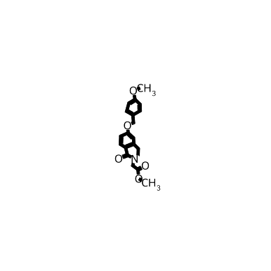 COC(=O)CN1CCc2cc(OCc3ccc(OC)cc3)ccc2C1=O